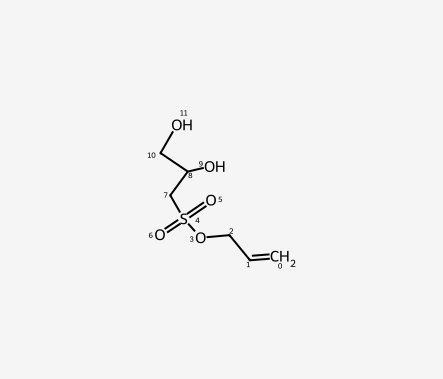 C=CCOS(=O)(=O)CC(O)CO